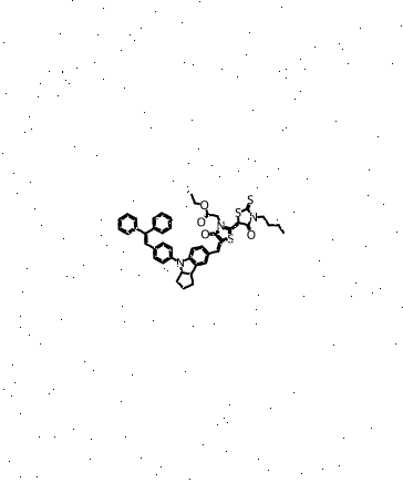 CCCCN1C(=O)/C(=c2\s/c(=C/c3ccc4c(c3)C3CCCC3N4c3ccc(C=C(c4ccccc4)c4ccccc4)cc3)c(=O)n2CC(=O)OCC)SC1=S